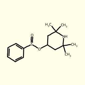 CC1(C)CC(OS(=O)c2ccccc2)CC(C)(C)N1